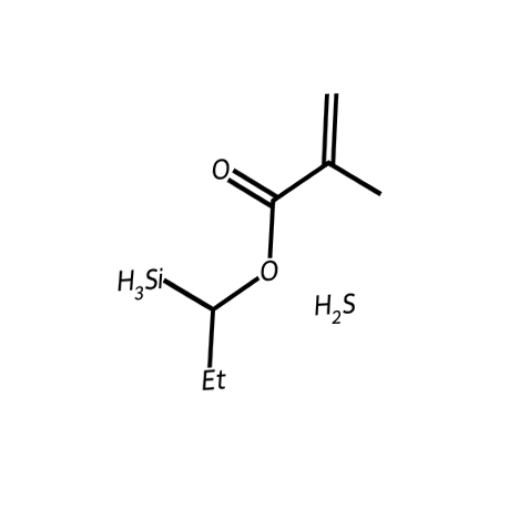 C=C(C)C(=O)OC([SiH3])CC.S